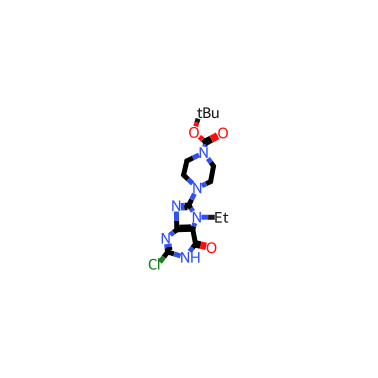 CCn1c(N2CCN(C(=O)OC(C)(C)C)CC2)nc2nc(Cl)[nH]c(=O)c21